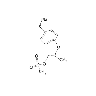 CCC(C)Sc1ccc(OC(C)COS(C)(=O)=O)cc1